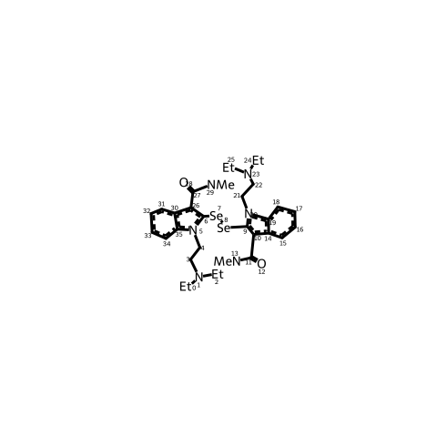 CCN(CC)CCn1c([Se][Se]c2c(C(=O)NC)c3ccccc3n2CCN(CC)CC)c(C(=O)NC)c2ccccc21